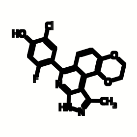 Cc1n[nH]c2nc(-c3cc(Cl)c(O)cc3F)c3ccc4c(c3c12)OCCO4